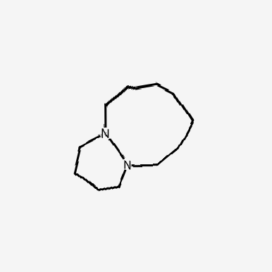 C1CCCN2CCCCN2CCC1